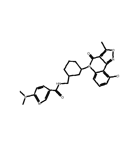 Cc1onc2c1c(=O)n(C1CCCC(CNC(=O)c3ccc(N(C)C)nc3)C1)c1cccc(Cl)c21